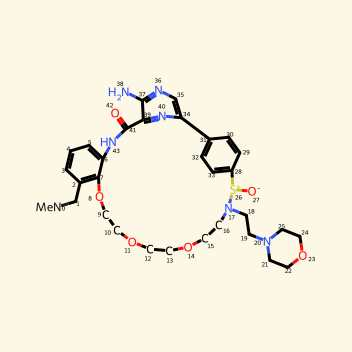 CNCc1cccc2c1OCCOCCOCCN(CCN1CCOCC1)[S+]([O-])c1ccc(cc1)-c1cnc(N)c(n1)C(=O)N2